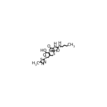 CCCCNC(=O)NC1C(=O)N2C(C(=O)O)=C(CSc3nnc(C)s3)CS[C@@H]12